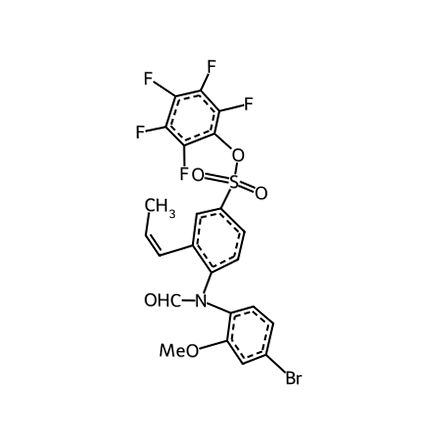 C/C=C\c1cc(S(=O)(=O)Oc2c(F)c(F)c(F)c(F)c2F)ccc1N(C=O)c1ccc(Br)cc1OC